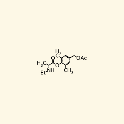 CCNC(C)C(=O)Oc1c(C)cc(COC(C)=O)cc1C